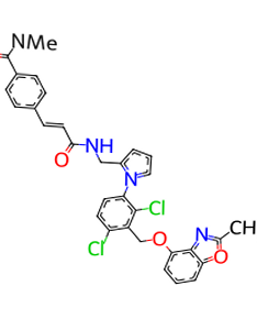 CNC(=O)c1ccc(C=CC(=O)NCc2cccn2-c2ccc(Cl)c(COc3cccc4oc(C)nc34)c2Cl)cc1